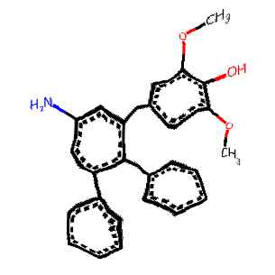 COc1cc(-c2cc(N)cc(-c3ccccc3)c2-c2ccccc2)cc(OC)c1O